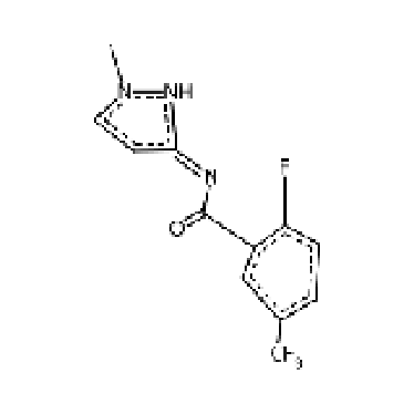 Cn1ccc(=NC(=O)c2cc(C(F)(F)F)ccc2F)[nH]1